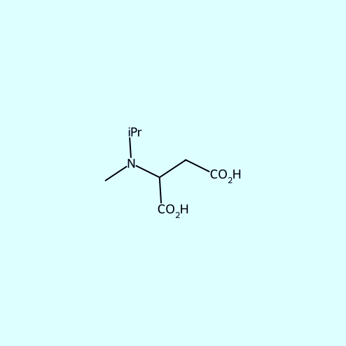 CC(C)N(C)C(CC(=O)O)C(=O)O